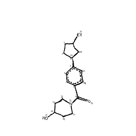 CCC1CC[C@H](c2ccc(C(=O)N3CCC(O)CC3)cc2)C1